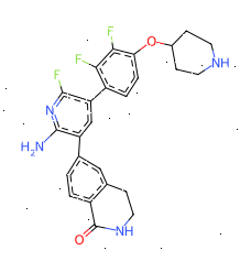 Nc1nc(F)c(-c2ccc(OC3CCNCC3)c(F)c2F)cc1-c1ccc2c(c1)CCNC2=O